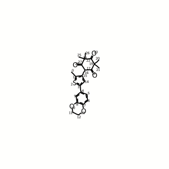 Cc1sc(-c2ccc3c(c2)OCCO3)cc1C1C(=O)C(C)(C)C(=O)C(C)(C)C1=O